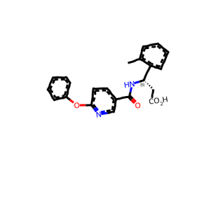 Cc1ccccc1[C@H](CC(=O)O)NC(=O)c1ccc(Oc2ccccc2)nc1